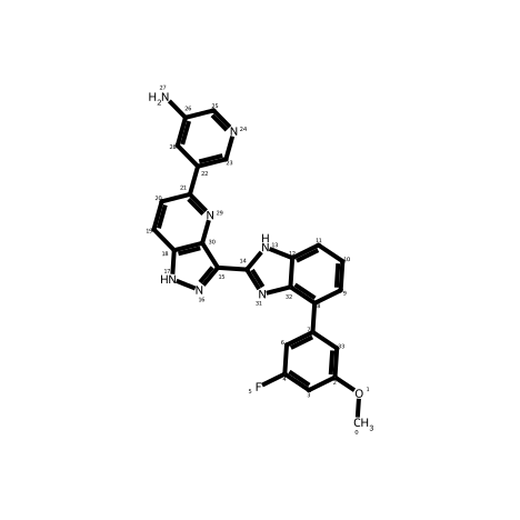 COc1cc(F)cc(-c2cccc3[nH]c(-c4n[nH]c5ccc(-c6cncc(N)c6)nc45)nc23)c1